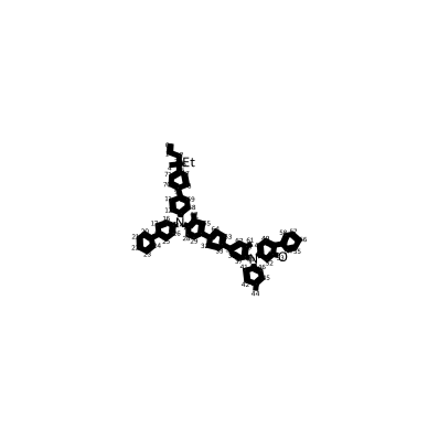 C=CCC(C)(CC)c1ccc(-c2ccc(N(c3ccc(-c4ccccc4)cc3)c3ccc(-c4ccc(-c5ccc(N(c6ccc(C)cc6)c6ccc7c(c6)oc6ccccc67)c(C)c5)cc4)cc3C)cc2)cc1